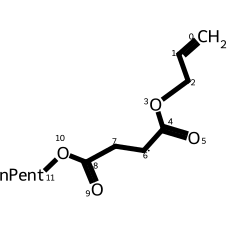 C=CCOC(=O)[CH]CC(=O)OCCCCC